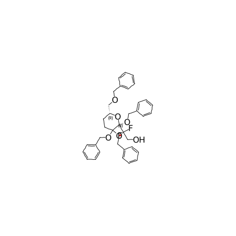 OCC(F)(F)[C@]1(OCc2ccccc2)O[C@@H](COCc2ccccc2)CCC1(OCc1ccccc1)OCc1ccccc1